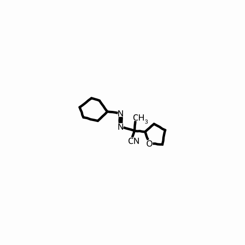 CC(C#N)(N=NC1CCCCC1)C1CCCO1